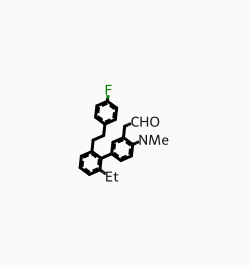 CCc1cccc(CCc2ccc(F)cc2)c1-c1ccc(NC)c(CC=O)c1